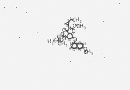 C=CC1CC1N(C(=O)OC)C(=O)C1CC(Oc2nccc3cc(OC)ccc23)CN1C(=O)OC(C)(C)C